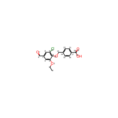 CCOc1cc(C=O)cc(Cl)c1OCc1ccc(C(=O)O)cc1